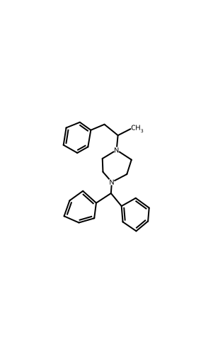 CC(Cc1ccccc1)N1CCN(C(c2ccccc2)c2ccccc2)CC1